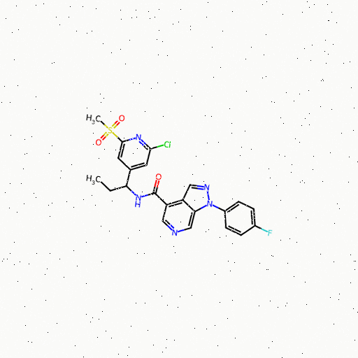 CCC(NC(=O)c1cncc2c1cnn2-c1ccc(F)cc1)c1cc(Cl)nc(S(C)(=O)=O)c1